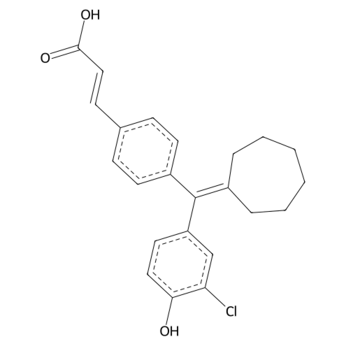 O=C(O)C=Cc1ccc(C(=C2CCCCCC2)c2ccc(O)c(Cl)c2)cc1